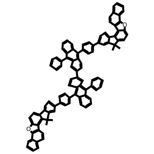 CC1(C)c2cc(-c3ccc(-c4c5ccccc5c(-c5ccccc5)c5cc(-c6ccc7c(-c8ccc(-c9ccc%10c(c9)C(C)(C)c9c-%10ccc%10oc%11c%12ccccc%12ccc%11c9%10)cc8)c8ccccc8c(-c8ccccc8)c7c6)ccc45)cc3)ccc2-c2c1ccc1oc3c4ccccc4ccc3c21